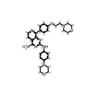 Nc1nc(Nc2ccc(N3CCOCC3)cc2)nc2c(-c3ccc(OCCN4CCOCC4)cc3)nccc12